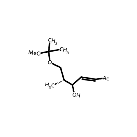 COC(C)(C)OC[C@@H](C)C(O)/C=C/C(C)=O